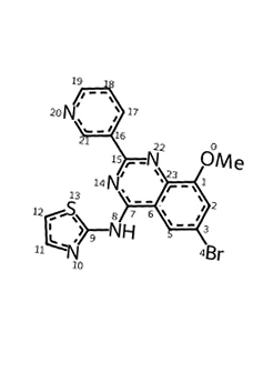 COc1cc(Br)cc2c(Nc3nccs3)nc(-c3cccnc3)nc12